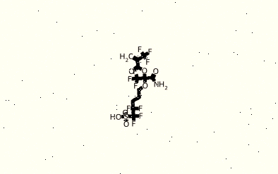 C=C(C(=O)OC(OCCCC(F)(F)C(F)(F)S(=O)(=O)O)(C(N)=O)C(F)(F)F)C(F)(F)F